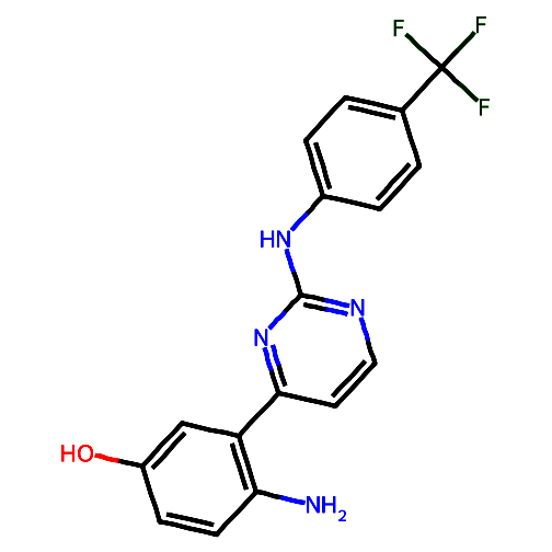 Nc1ccc(O)cc1-c1ccnc(Nc2ccc(C(F)(F)F)cc2)n1